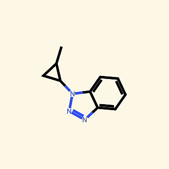 CC1CC1n1nnc2ccccc21